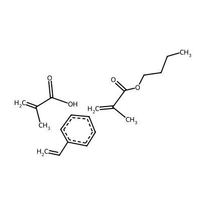 C=C(C)C(=O)O.C=C(C)C(=O)OCCCC.C=Cc1ccccc1